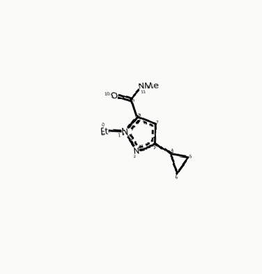 CCn1nc(C2CC2)cc1C(=O)NC